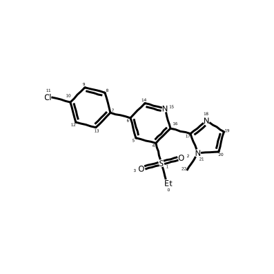 CCS(=O)(=O)c1cc(-c2ccc(Cl)cc2)cnc1-c1nccn1C